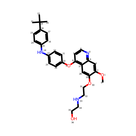 COc1cc2nccc(Oc3ccc(Nc4ccc(C(C)(C)C)cc4)cc3)c2cc1OCCNCCO